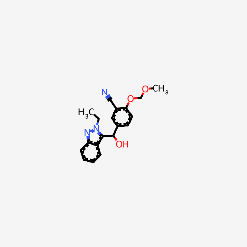 CCn1nc2ccccc2c1C(O)c1ccc(OCOC)c(C#N)c1